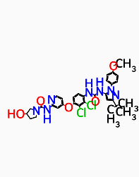 COc1ccc(-n2nc(C(C)(C)C)cc2NC(=O)Nc2ccc(Oc3ccnc(NC(=O)N4CCC(O)C4)c3)c(Cl)c2Cl)cc1